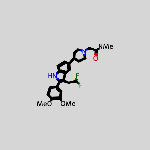 CNC(=O)CN1CCC(c2ccc3[nH]c(-c4ccc(OC)c(OC)c4)c(CC(F)F)c3c2)CC1